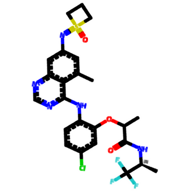 Cc1cc(N=S2(=O)CCC2)cc2ncnc(Nc3ccc(Cl)cc3OC(C)C(=O)N[C@@H](C)C(F)(F)F)c12